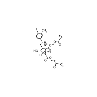 Cc1cc(SC[C@@H]2[C@@H](O)[C@H]3C(C(=O)OCOC(=O)C4CC4)[C@H]3[C@]2(N)C(=O)OCOC(=O)C2CC2)ccc1F